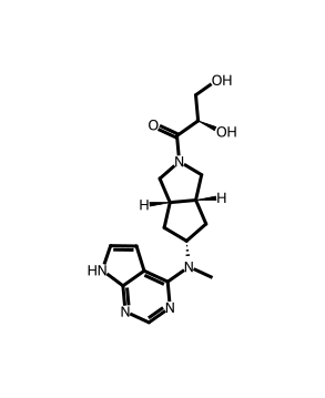 CN(c1ncnc2[nH]ccc12)[C@@H]1C[C@@H]2CN(C(=O)[C@H](O)CO)C[C@@H]2C1